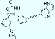 COc1cccc([C@H]2OC(=O)N[C@@H]2c2cccc(C#CC3C=c4[nH]ccc4=NC3)c2)c1